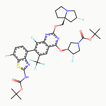 CC(C)(C)OC(=O)Nc1nc2c(-c3c(C(F)(F)F)cc4c(O[C@H]5CN(C(=O)OC(C)(C)C)C[C@@H]5F)nc(OC[C@@]56CCCN5C[C@H](F)C6)nc4c3F)ccc(F)c2s1